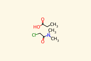 CCC(=O)O.CN(C)C(=O)CCl